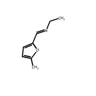 CCN=Cc1ccc(C)o1